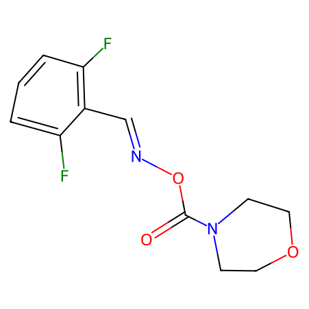 O=C(O/N=C/c1c(F)cccc1F)N1CCOCC1